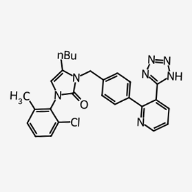 CCCCc1cn(-c2c(C)cccc2Cl)c(=O)n1Cc1ccc(-c2ncccc2-c2nnn[nH]2)cc1